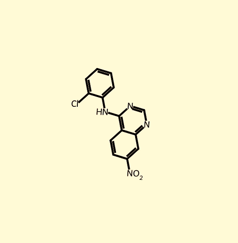 O=[N+]([O-])c1ccc2c(Nc3ccccc3Cl)ncnc2c1